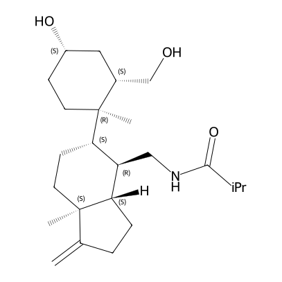 C=C1CC[C@H]2[C@H](CNC(=O)C(C)C)[C@@H]([C@@]3(C)CC[C@H](O)C[C@@H]3CO)CC[C@]12C